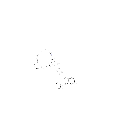 COc1ccc2c(O[C@H]3CN[C@H](C(=O)N[C@@]45C[C@H]4/C=C\CCCCCNc4ccccc4S(=O)(=O)NC5=O)C3)cc(-c3ccccc3)nc2c1